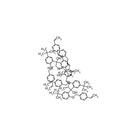 C=Cc1ccc(COc2ccc(C(C)(C)C)cc2C(O)(c2cc(C(C)(C)C)ccc2OCc2ccc(C=C)cc2)[C@@H](C)N=Cc2cc(C)c(C=CCc3ccccc3)c(C=N[C@H](C)C(O)(c3cc(C(C)(C)C)ccc3OCc3ccc(C=C)cc3)c3cc(C(C)(C)C)ccc3OCc3ccc(C=C)cc3)c2O)cc1